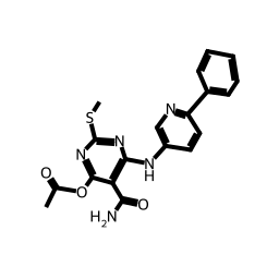 CSc1nc(Nc2ccc(-c3ccccc3)nc2)c(C(N)=O)c(OC(C)=O)n1